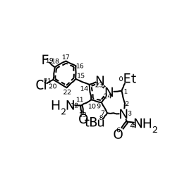 CCC1CN(C(N)=O)C(C(C)(C)C)c2c(C(N)=O)c(-c3ccc(F)c(Cl)c3)nn21